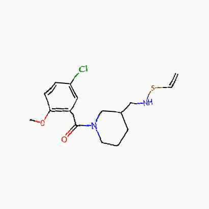 C=CSNCC1CCCN(C(=O)c2cc(Cl)ccc2OC)C1